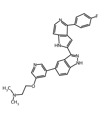 CN(C)CCOc1cncc(-c2ccc3[nH]nc(-c4cc5c(-c6ccc(F)cc6)nccc5[nH]4)c3c2)c1